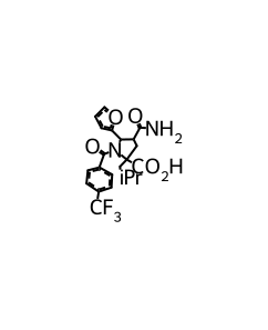 CC(C)CC1(C(=O)O)CC(C(N)=O)C(c2ccco2)N1C(=O)c1ccc(C(F)(F)F)cc1